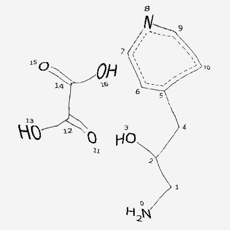 NCC(O)Cc1ccncc1.O=C(O)C(=O)O